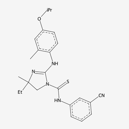 CCC1(C)CN(C(=S)Nc2cccc(C#N)c2)C(Nc2ccc(OC(C)C)cc2C)=N1